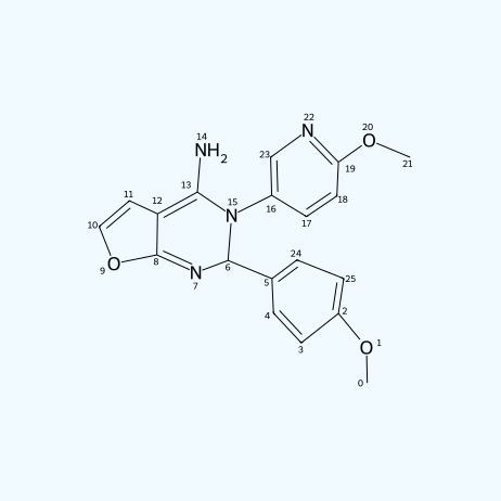 COc1ccc(C2N=c3occc3=C(N)N2c2ccc(OC)nc2)cc1